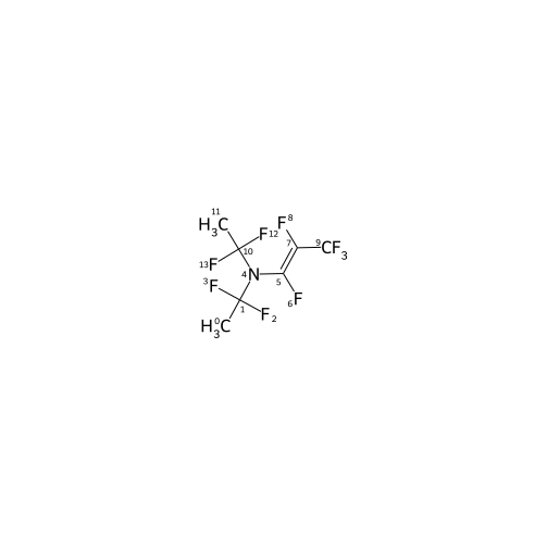 CC(F)(F)N(/C(F)=C(\F)C(F)(F)F)C(C)(F)F